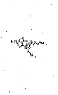 NCCCC[C@H](NC(=O)[C@@H](N)CCCCN)C(=O)N1CCC[C@H]1C(N)=O